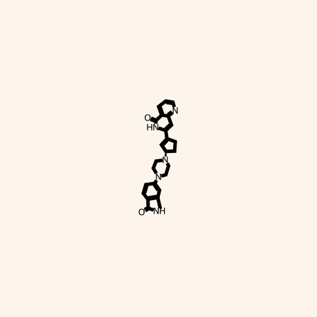 O=C1NCc2cc(N3CCN([C@H]4C=C(c5cc6ncccc6c(=O)[nH]5)CC4)CC3)ccc21